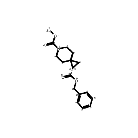 CC(C)(C)OC(=O)N1CCC2(CC1)C[C@@H]2C(=O)OCc1ccccc1